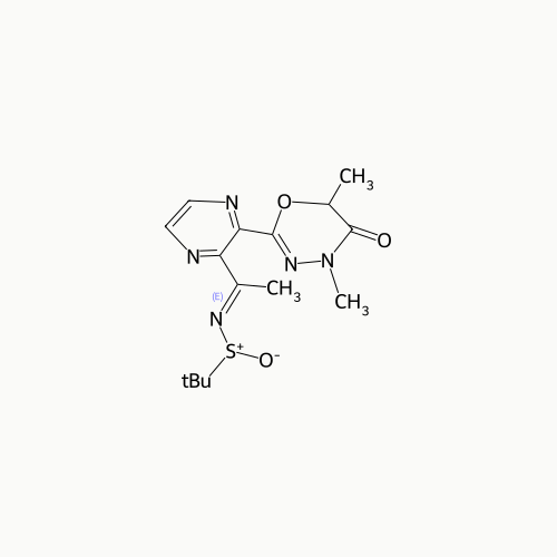 C/C(=N\[S+]([O-])C(C)(C)C)c1nccnc1C1=NN(C)C(=O)C(C)O1